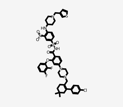 CC1(C)CCC(CN2CCN(c3ccc(C(=O)NS(=O)(=O)c4ccc(NC5CCN(Cc6ccsc6)CC5)c([N+](=O)[O-])c4)c(Oc4cccc(F)c4F)c3)CC2)=C(c2ccc(Cl)cc2)C1